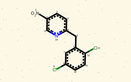 O=[N+]([O-])c1ccc(Cc2cc(Cl)ccc2Cl)nc1